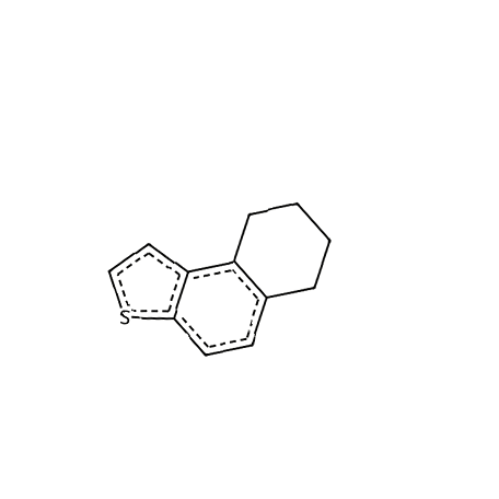 c1cc2c3c(ccc2s1)CCCC3